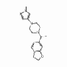 C[C@@H](c1ccc2c(c1)OCC2)N1CCN(c2cn[nH]c2)CC1